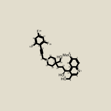 COc1ccc2ncc(CO)c([C@@H](O)CCC3(CO)CCN(CC#Cc4c(F)cc(F)cc4F)CC3)c2c1